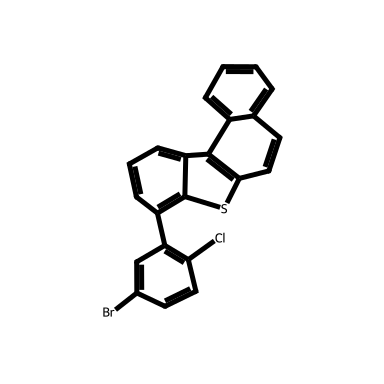 Clc1ccc(Br)cc1-c1cccc2c1sc1ccc3ccccc3c12